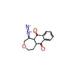 [N-]=[N+]=C1COCCC2C(=O)c3ccccc3C(=O)C12